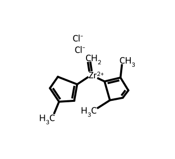 [CH2]=[Zr+2]([C]1=CC(C)=CC1)[C]1=C(C)C=CC1C.[Cl-].[Cl-]